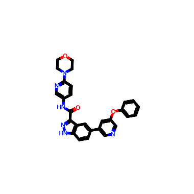 O=C(Nc1ccc(N2CCOCC2)nc1)c1n[nH]c2ccc(-c3cncc(Oc4ccccc4)c3)cc12